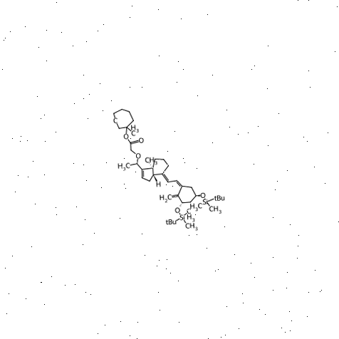 C=C1/C(=C\C=C2/CCC[C@]3(C)C(C(C)OCC(=O)OC4(C)CCCCCC4)=CC[C@@H]23)C[C@@H](O[Si](C)(C)C(C)(C)C)C[C@@H]1O[Si](C)(C)C(C)(C)C